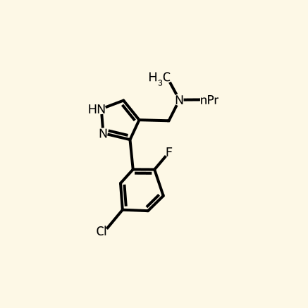 CCCN(C)Cc1c[nH]nc1-c1cc(Cl)ccc1F